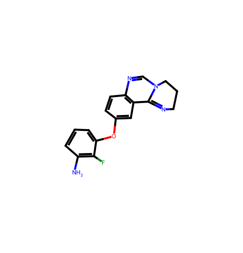 Nc1cccc(Oc2ccc3c(c2)C2=NCCCN2C=N3)c1F